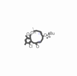 Cc1cc(C)c2c(c1Cl)CC(=O)/C=C/CC(O[Si](C)(C)C(C)(C)C)/C=C/C[C@@H](C)OC2=O